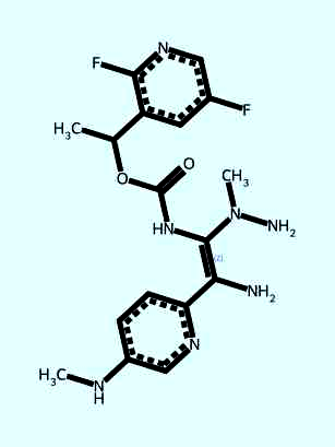 CNc1ccc(/C(N)=C(\NC(=O)OC(C)c2cc(F)cnc2F)N(C)N)nc1